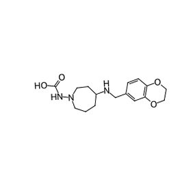 O=C(O)NN1CCCC(NCc2ccc3c(c2)OCCO3)CC1